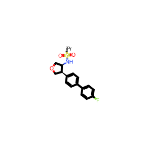 CC(C)S(=O)(=O)N[C@@H]1COC[C@@H]1c1ccc(-c2ccc(F)cc2)cc1